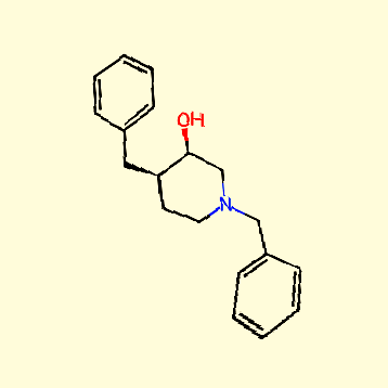 O[C@H]1CN(Cc2ccccc2)CC[C@H]1Cc1ccccc1